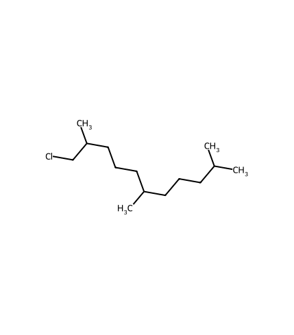 CC(C)CCCC(C)CCCC(C)CCl